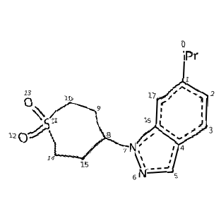 CC(C)c1ccc2cnn(C3CCS(=O)(=O)CC3)c2c1